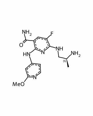 COc1cc(Nc2nc(NC[C@H](C)N)c(F)cc2C(N)=O)ccn1